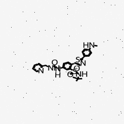 CNc1ccc(-c2ncc(-c3ccc(NC(=O)NCc4ccccn4)cc3S(=O)(=O)NC(C)(C)C)s2)cc1